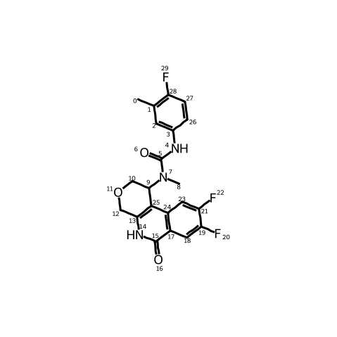 Cc1cc(NC(=O)N(C)C2COCc3[nH]c(=O)c4cc(F)c(F)cc4c32)ccc1F